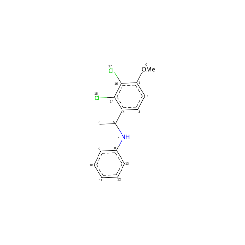 COc1ccc(C(C)Nc2ccccc2)c(Cl)c1Cl